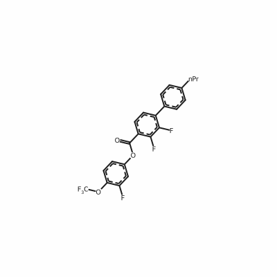 CCCc1ccc(-c2ccc(C(=O)Oc3ccc(OC(F)(F)F)c(F)c3)c(F)c2F)cc1